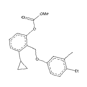 CCc1ccc(OCc2c(OC(=O)OC)cccc2C2CC2)cc1C